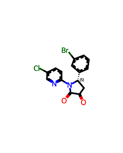 O=C1C[C@@H](c2cccc(Br)c2)N(c2ccc(Cl)cn2)C1=O